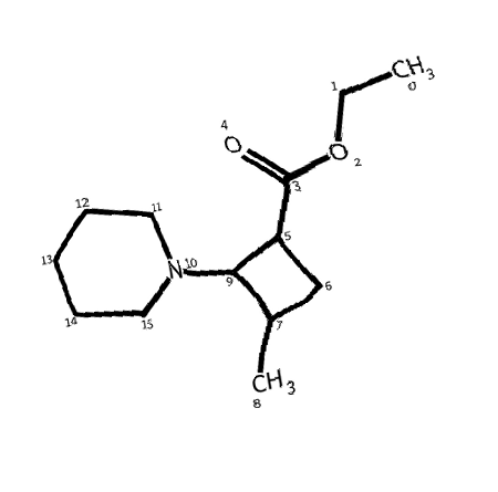 CCOC(=O)C1CC(C)C1N1CCCCC1